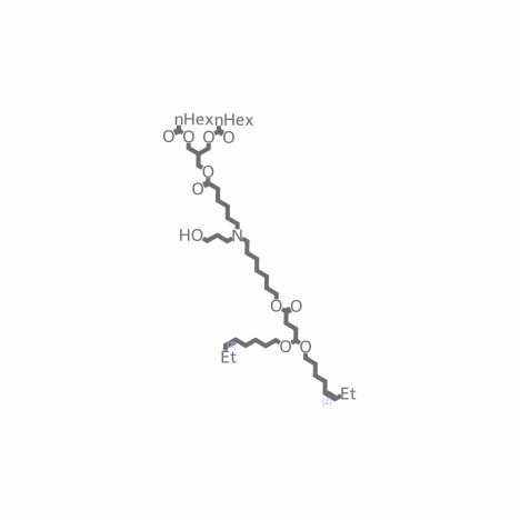 CC/C=C\CCCCOC(CCC(=O)OCCCCCCCN(CCCO)CCCCCC(=O)OCC(COC(=O)CCCCCC)COC(=O)CCCCCC)OCCCC/C=C\CC